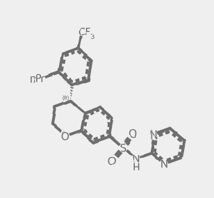 CCCc1cc(C(F)(F)F)ccc1[C@H]1CCOc2cc(S(=O)(=O)Nc3ncccn3)ccc21